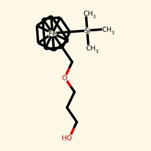 C[Si](C)(C)[C]12[CH]3[CH]4[CH]5[C]1(COCCCO)[Fe]45321678[CH]2[CH]1[CH]6[CH]7[CH]28